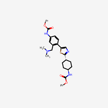 CC(C)OC(=O)Nc1ccc(-c2cnc([C@H]3CC[C@H](NC(=O)OC(C)C)CC3)s2)c(CN(C)C)c1